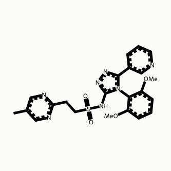 COc1cccc(OC)c1-n1c(NS(=O)(=O)CCc2ncc(C)cn2)nnc1-c1cccnc1